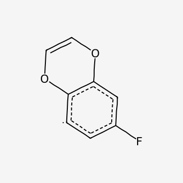 Fc1c[c]c2c(c1)OC=CO2